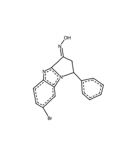 O/N=C1\CC(c2ccccc2)n2c1nc1ccc(Br)cc12